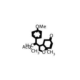 C=C(c1ccc(OC)cc1)C1COC2(C)C=CC(=O)CC12.COC(C)=O